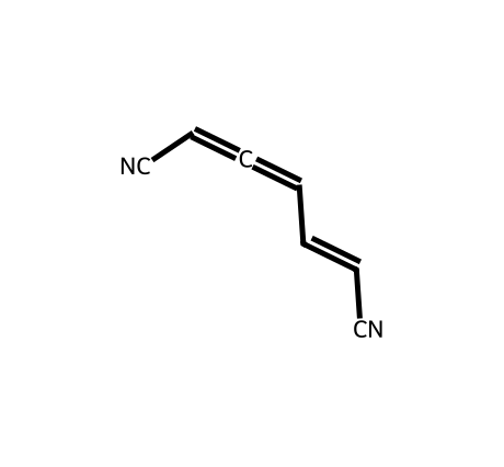 N#CC=C=CC=CC#N